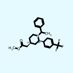 COC(=O)C[C@H]1CCN(C(C)c2ccccc2)[C@@H](C2C=CC(C(F)(F)F)=CC2)C1